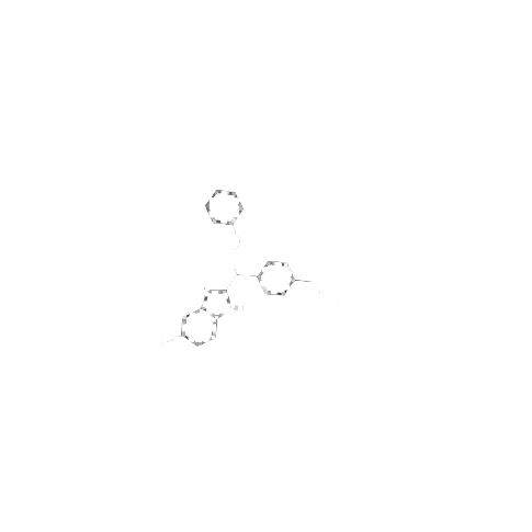 COc1ccc(C(OCc2ccccc2)c2nc3cc(F)ccc3[nH]2)cc1